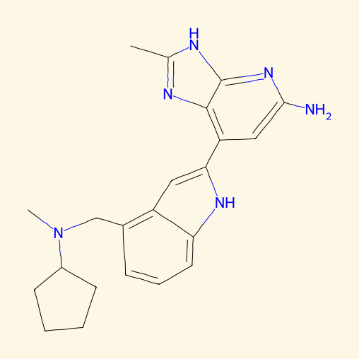 Cc1nc2c(-c3cc4c(CN(C)C5CCCC5)cccc4[nH]3)cc(N)nc2[nH]1